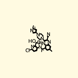 Cc1cc([C@@H](C)Nc2ccc(Cl)nc2C(=O)O)c2nc(N3CCN(c4cnn(C)c4)CC3)c(C#N)nc2c1